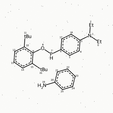 CCN(CC)c1ccc(POc2c(C(C)(C)C)cccc2C(C)(C)C)cc1.Nc1ccccc1